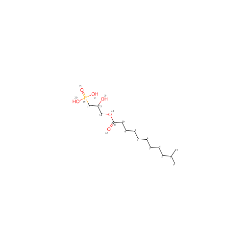 CC(C)CCCCCCCCC(=O)OCC(O)CP(=O)(O)O